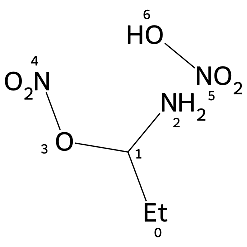 CCC(N)O[N+](=O)[O-].O=[N+]([O-])O